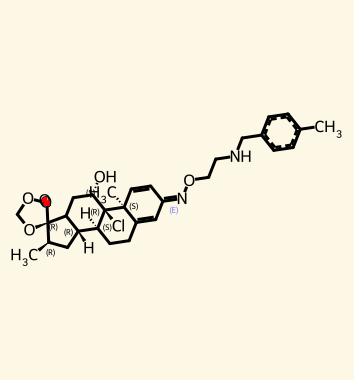 Cc1ccc(CNCCO/N=C2\C=C[C@@]3(C)C(=C2)CC[C@H]2[C@@H]4C[C@@H](C)[C@@]5(OCOC56COCO6)C4C[C@H](O)[C@@]23Cl)cc1